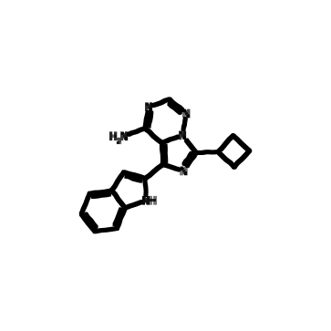 Nc1ncnn2c(C3CCC3)nc(-c3cc4ccccc4[nH]3)c12